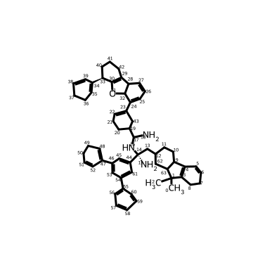 CC1(C)C2=C(C=CCC2)C2CCC(C[C@](N)(NC(N)C3CCC=C(C4=CC=CC5C6=C(OC45)[C@@H](C4=CCCC=C4)CCC6)C3)c3cc(C4=CCCC=C4)cc(-c4ccccc4)c3)CC21